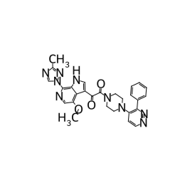 COc1cnc(-n2cnc(C)n2)c2[nH]cc(C(=O)C(=O)N3CCN(c4ccnnc4-c4ccccc4)CC3)c12